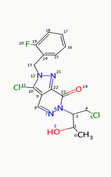 CC(O)C(CCl)n1ncc2c(Cl)n(Cc3ccccc3F)nc2c1=O